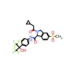 CS(=O)(=O)c1ccc2c(c1)CN(C(=O)CC1CC1)C2C(=O)Nc1ccc(C(O)(C(F)(F)F)C(F)(F)F)cc1